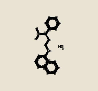 CN(C)[C@H](CCOc1cccc2ccccc12)c1ccccc1.Cl